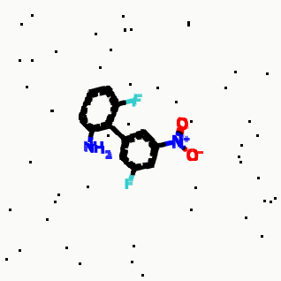 Nc1cccc(F)c1-c1cc(F)cc([N+](=O)[O-])c1